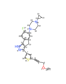 CC(C)OCC#Cc1cc(-c2n[nH]c3c2Cc2cc(N4CCN(C5CC5)CC4)c(F)cc2-3)cs1